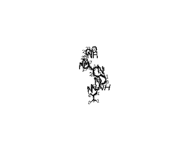 CC(C)c1cnnc(Nc2ccc3ncc(-c4cnn(C[C@@H]5CCC(=O)N5)c4)cc3n2)c1